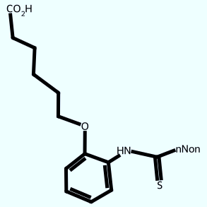 CCCCCCCCCC(=S)Nc1ccccc1OCCCCCC(=O)O